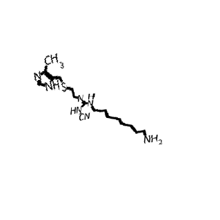 Cc1nc[nH]c1CSCC/N=C(\NC#N)NCCCCCCCCN